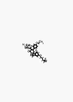 CCOc1ccc(C2=C(C(=O)NS(C)(=O)=O)C(=O)NC(c3ccc(OCCCC(F)(F)F)cc3F)(C(F)(F)F)C2)cc1